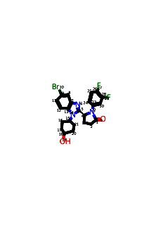 O=C1CC[C@@H](c2nc3cc(Br)ccc3n2C2CCC(O)CC2)N1c1ccc(F)c(F)c1